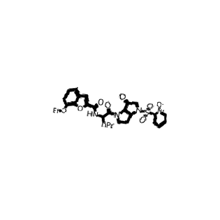 CCCC(NC(=O)c1cc2cccc(OCC)c2o1)C(=O)N1CCC2C1C(=O)CN2S(=O)(=O)c1cccc[n+]1[O-]